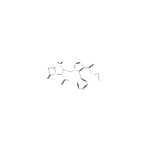 CCOC(=O)c1nnn(C[C@@]2(C)[C@H](C(=O)[O-])N3C(=O)C[C@@H]3S2(=O)=O)c1-c1ccccc1.[Na+]